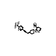 O=Nc1cccnc1N1CCC(=CC#Cc2ccc(C(F)(F)F)nc2)CC1